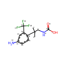 CC(C)(CNC(=O)O)c1ccc(N)cc1C(F)(F)F